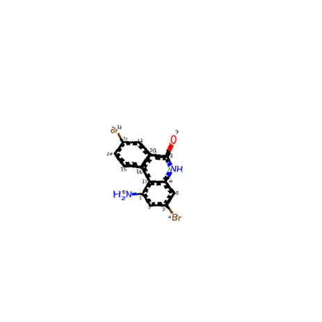 Nc1cc(Br)cc2[nH]c(=O)c3cc(Br)ccc3c12